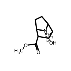 COC(=O)C1C2CCC(C[C@@H]1O)N2C